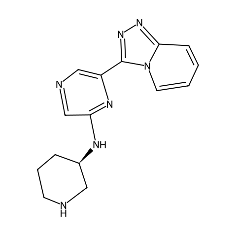 c1ccn2c(-c3cncc(N[C@@H]4CCCNC4)n3)nnc2c1